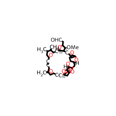 C=C1CC2CC[C@@]34CC5OC6C(O3)[C@H]3OC(CCC3O[C@H]6[C@H]5O4)CC(=O)CC3[C@@H](OC)C(CC=O)O[C@H]3CC3OC(CCC1O2)CC(C)C3=C